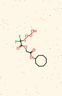 O=C(COC(=O)C(F)(F)SOOO)OC1CCCCCCC1